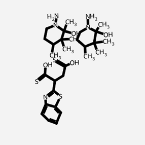 CC1CCN(N)C(C)(O)C1(C)C.CC1CCN(N)C(C)(O)C1(C)C.OC(=S)CC(C(O)=S)c1nc2ccccc2s1